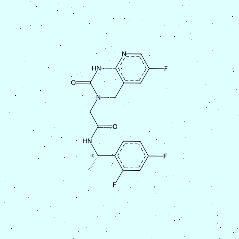 C[C@H](NC(=O)CN1Cc2cc(F)cnc2NC1=O)c1ccc(F)cc1F